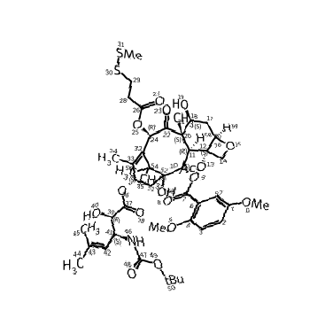 COc1ccc(OC)c(C(=O)O[C@H]2[C@@H]3[C@]4(OC(C)=O)CO[C@@H]4C[C@H](O)[C@@]3(C)C(=O)[C@H](OC(=O)CCSSC)C3=C(C)[C@@H](OC(=O)[C@H](O)[C@H](C=C(C)C)NC(=O)OC(C)(C)C)C[C@]2(O)C3(C)C)c1